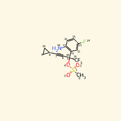 CS(=O)(=O)O[C@](C#CC1CC1)(c1cc(F)ccc1N)C(F)(F)F